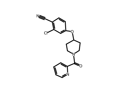 N#Cc1ccc(OC2CCN(C(=O)c3ccccn3)CC2)cc1Cl